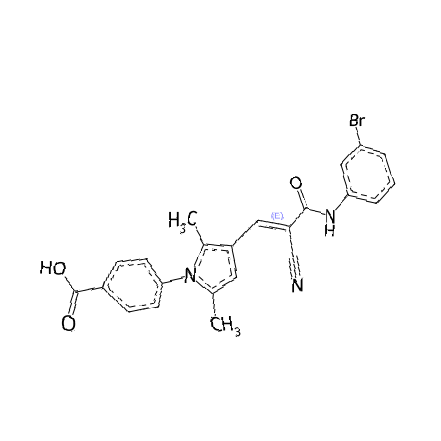 Cc1cc(/C=C(\C#N)C(=O)Nc2cccc(Br)c2)c(C)n1-c1ccc(C(=O)O)cc1